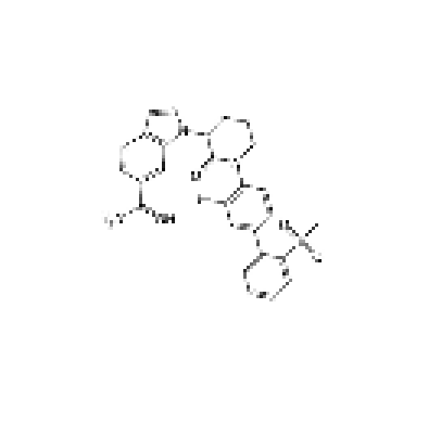 CS(=O)(=O)c1ccccc1-c1ccc(N2CCCC(n3ccc4ccc(C(=N)N)cc43)C2=O)c(F)c1